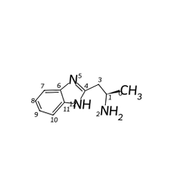 C[C@@H](N)Cc1nc2ccccc2[nH]1